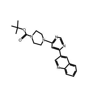 CC(C)(C)OC(=O)N1CCN(c2cc(-c3cnc4ccccc4c3)ncn2)CC1